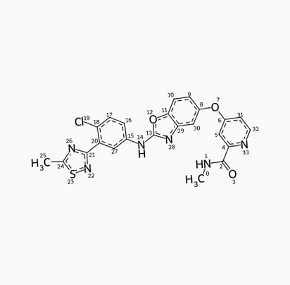 CNC(=O)c1cc(Oc2ccc3oc(Nc4ccc(Cl)c(-c5nsc(C)n5)c4)nc3c2)ccn1